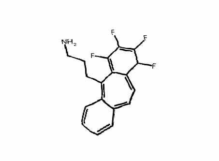 NCCCC1=c2ccccc2=CC=C2C1=C(F)C(F)=C(F)C2F